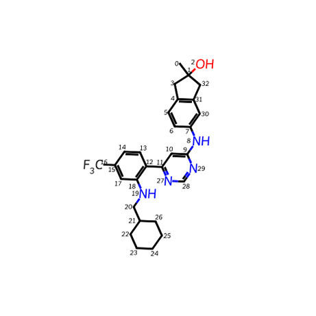 CC1(O)Cc2ccc(Nc3cc(-c4ccc(C(F)(F)F)cc4NCC4CCCCC4)ncn3)cc2C1